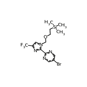 C[Si](C)(C)CCOCn1cc(C(F)(F)F)nc1-c1ncc(Br)cn1